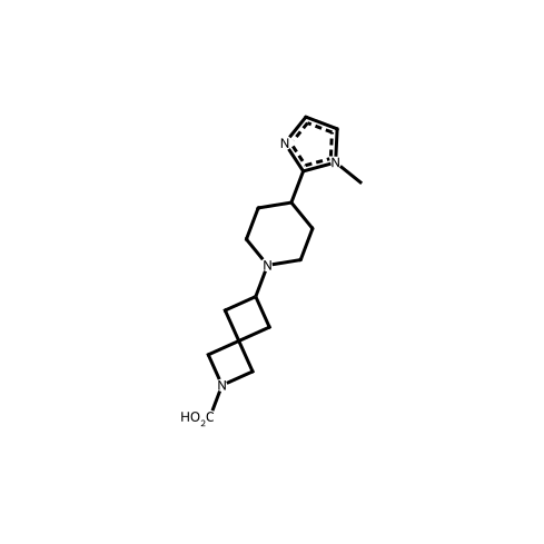 Cn1ccnc1C1CCN(C2CC3(C2)CN(C(=O)O)C3)CC1